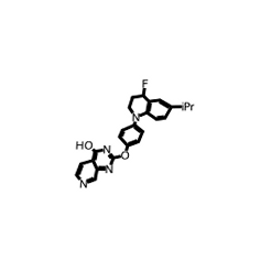 CC(C)c1ccc2c(c1)C(F)CCN2c1ccc(Oc2nc(O)c3ccncc3n2)cc1